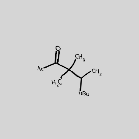 CCCCC(C)C(C)(C)C(=O)C(C)=O